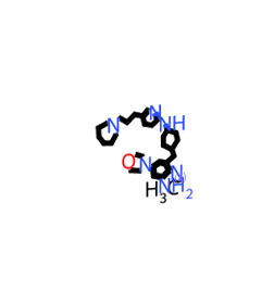 C/C=N\c1c(N)cc(N2CCOCC2)cc1CC1CCC(NC2=NC=C(CCCN3CCCCCC3)CC2)CC1